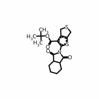 CC(C)(C)OC(=O)c1c(N2C(=O)C3CCCCC3C2=O)sc2c1CSC2